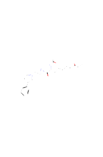 CCC(=O)CCCCCC(NC(C)=O)C(=O)NCCN1CCC(c2ccccc2)C1